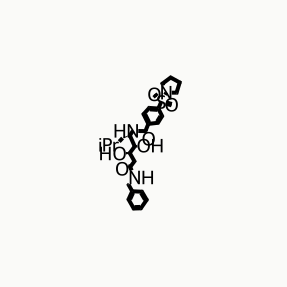 CC(C)C[C@H](NC(=O)c1ccc(S(=O)(=O)N2CCCC2)cc1)[C@@H](O)[C@H](O)CC(=O)NCc1ccccc1